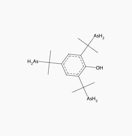 CC(C)([AsH2])c1cc(C(C)(C)[AsH2])c(O)c(C(C)(C)[AsH2])c1